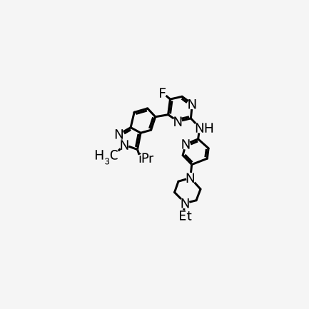 CCN1CCN(c2ccc(Nc3ncc(F)c(-c4ccc5nn(C)c(C(C)C)c5c4)n3)nc2)CC1